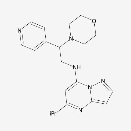 CC(C)c1cc(NCC(c2ccncc2)N2CCOCC2)n2nccc2n1